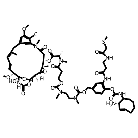 COc1cc2cc(c1Cl)N(C)C(=O)C[C@H](OC(=O)[C@H](C)N(C)C(=O)CCOC(=O)N(C)CCN(C)C(=O)OCc1ccc(OC(=O)NC3CCCC/C=C/[C@@H]3N)c(NC(=O)CCNC(=O)CSC)c1)[C@]1(C)O[C@H]1[C@H](C)[C@@H]1C[C@@](O)(NC(=O)O1)[C@H](OC)/C=C/C=C(\C)C2